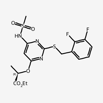 CCOC(=O)[C@@H](C)Oc1cc(NS(C)(=O)=O)nc(SCc2cccc(F)c2F)n1